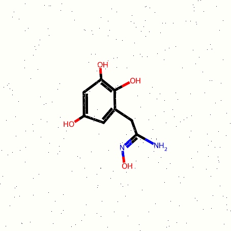 NC(Cc1cc(O)cc(O)c1O)=NO